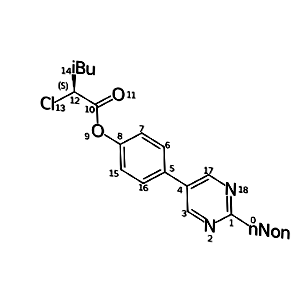 CCCCCCCCCc1ncc(-c2ccc(OC(=O)[C@@H](Cl)C(C)CC)cc2)cn1